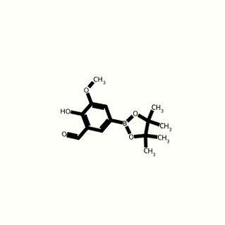 COc1cc(B2OC(C)(C)C(C)(C)O2)cc(C=O)c1O